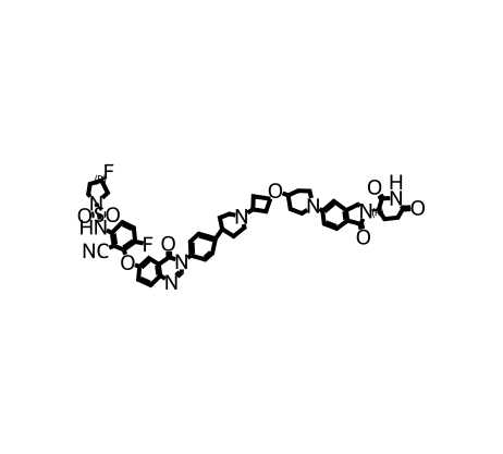 N#Cc1c(NS(=O)(=O)N2CC[C@@H](F)C2)ccc(F)c1Oc1ccc2ncn(-c3ccc(C4CCN(C5CC(OC6CCN(c7ccc8c(c7)CN([C@@H]7CCC(=O)NC7=O)C8=O)CC6)C5)CC4)cc3)c(=O)c2c1